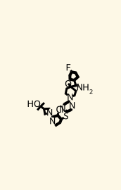 CC(C)(O)C1CN(c2nccc(Sc3cnc(N4CCC5(CC4)Oc4cc(F)ccc4[C@H]5N)cn3)c2Cl)C1